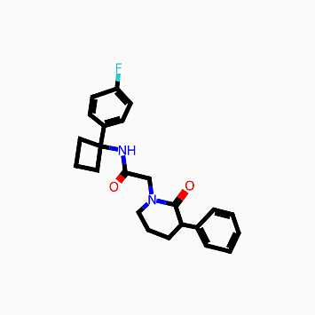 O=C(CN1CCCC(c2ccccc2)C1=O)NC1(c2ccc(F)cc2)CCC1